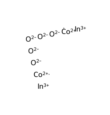 [Co+2].[Co+2].[In+3].[In+3].[O-2].[O-2].[O-2].[O-2].[O-2]